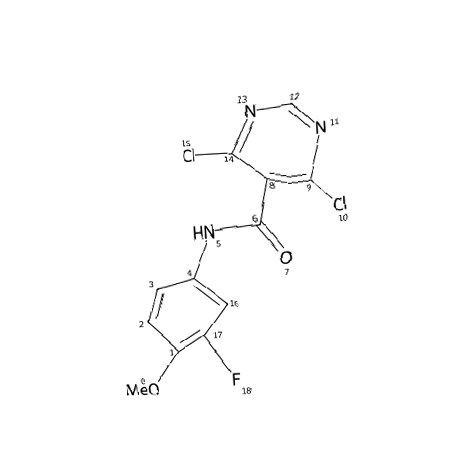 COc1ccc(NC(=O)c2c(Cl)ncnc2Cl)cc1F